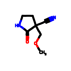 COCC1(C#N)CCNC1=O